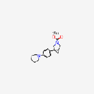 CC(C)(C)OC(=O)N1CC2CC2(c2ccc(N3CCCCC3)cc2)C1